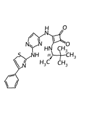 C[C@@H](Nc1c(Nc2ccnc(Nc3nc(-c4ccccc4)cs3)n2)c(=O)c1=O)C(C)(C)C